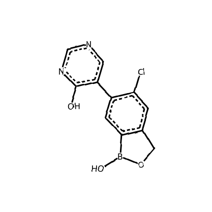 OB1OCc2cc(Cl)c(-c3cncnc3O)cc21